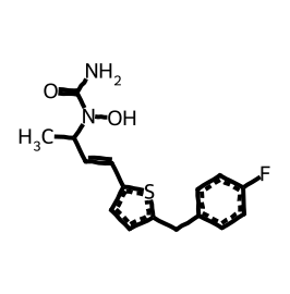 CC(/C=C/c1ccc(Cc2ccc(F)cc2)s1)N(O)C(N)=O